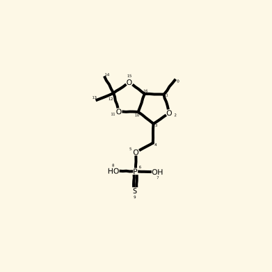 CC1OC(COP(O)(O)=S)C2OC(C)(C)OC12